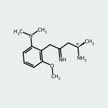 COc1cccc(N(C)C)c1CC(=N)C[C@@H](C)N